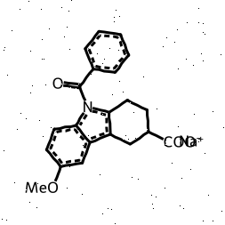 COc1ccc2c(c1)c1c(n2C(=O)c2ccccc2)CCC(C(=O)[O-])C1.[Na+]